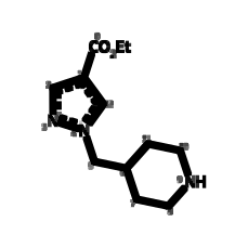 CCOC(=O)c1cnn(CC2CCNCC2)c1